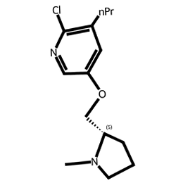 CCCc1cc(OC[C@@H]2CCCN2C)cnc1Cl